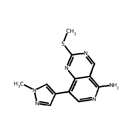 CSc1ncc2c(N)ncc(-c3cnn(C)c3)c2n1